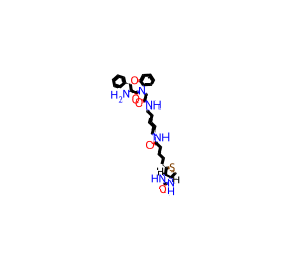 N[C@H]1C(=O)N(CC(=O)NCCCCCNC(=O)CCCC[C@@H]2SC[C@@H]3NC(=O)N[C@@H]32)c2ccccc2O[C@H]1c1ccccc1